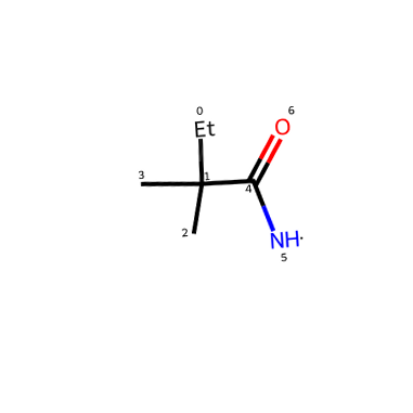 CCC(C)(C)C([NH])=O